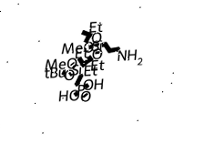 CCC(C)(C)O[Si](CCCN)(OC)OC(CC)(CC)C(C)(CC)[Si](CCP(=O)(O)O)(OC)OC(C)(C)C